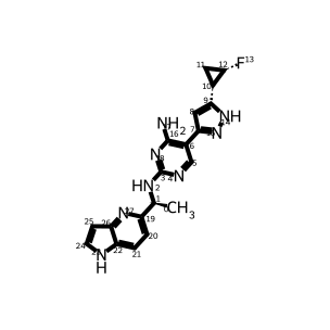 C[C@H](Nc1ncc(-c2cc([C@@H]3C[C@@H]3F)[nH]n2)c(N)n1)c1ccc2[nH]ccc2n1